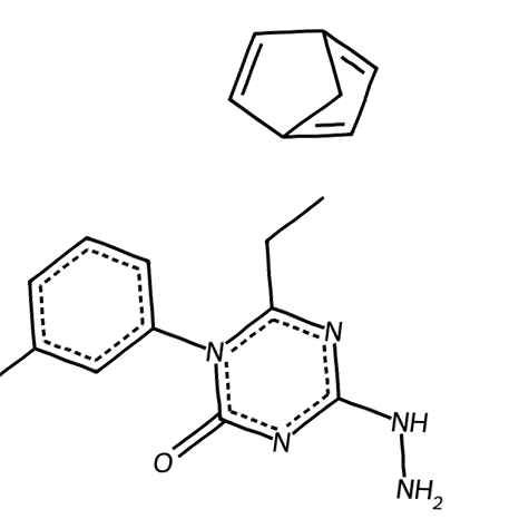 C1=CC2=CC=C1C2.CCc1nc(NN)nc(=O)n1-c1cccc(Cl)c1